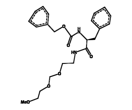 COCCOCOCCNC(=O)[C@H](Cc1ccccc1)NC(=O)OCc1ccccc1